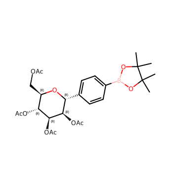 CC(=O)OC[C@H]1O[C@H](c2ccc(B3OC(C)(C)C(C)(C)O3)cc2)[C@@H](OC(C)=O)[C@@H](OC(C)=O)[C@@H]1OC(C)=O